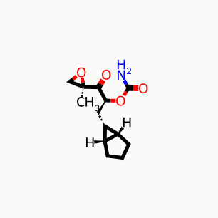 C[C@]1(C(=O)[C@H](C[C@@H]2[C@@H]3CCC[C@@H]32)OC(N)=O)CO1